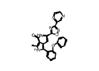 Cc1[nH]c(-c2ccccc2Oc2ccccc2)c2cc(-c3nc(-c4cnccn4)no3)[nH]c(=O)c12